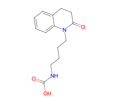 O=C(O)NCCCCN1C(=O)CCc2ccccc21